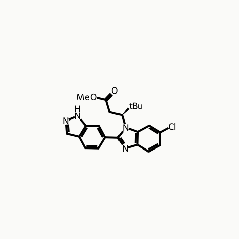 COC(=O)C[C@H](n1c(-c2ccc3cn[nH]c3c2)nc2ccc(Cl)cc21)C(C)(C)C